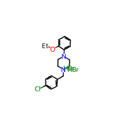 Br.Br.CCOc1ccccc1N1CCN(Cc2ccc(Cl)cc2)CC1